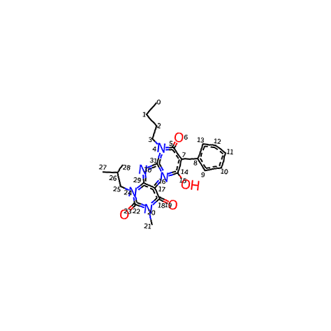 CCCCn1c(=O)c(-c2ccccc2)c(O)n2c3c(=O)n(C)c(=O)n(CC(C)C)c3nc12